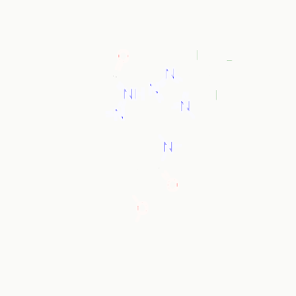 Cc1c(Cc2ccc(OC(C)C)c(C(=O)N3CCn4c(nnc4C(F)(F)F)C3)c2)n[nH]c(=O)c1C